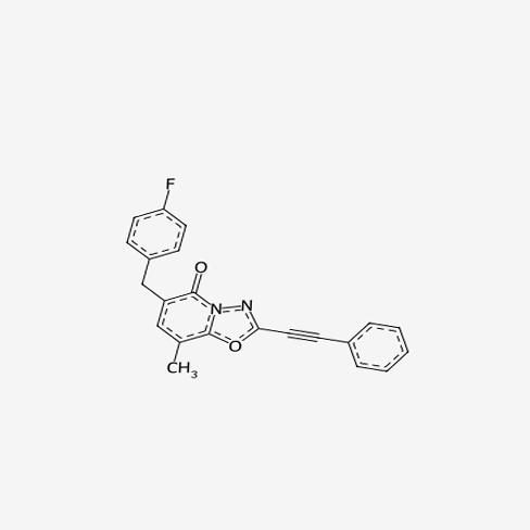 Cc1cc(Cc2ccc(F)cc2)c(=O)n2nc(C#Cc3ccccc3)oc12